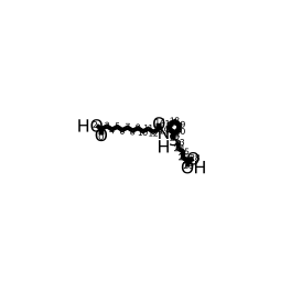 O=C(O)CCCCCCCCCCC(=O)Nc1ccccc1SCCCCC(=O)O